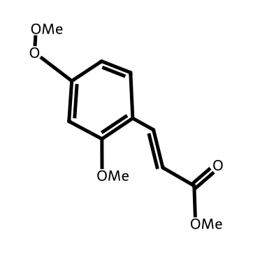 COOc1ccc(C=CC(=O)OC)c(OC)c1